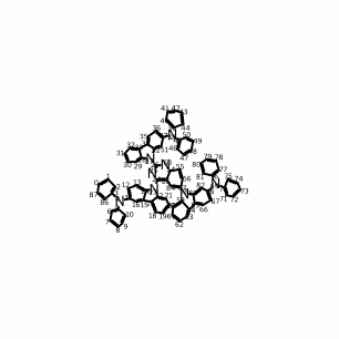 c1ccc(N(c2ccccc2)c2ccc3c(c2)c2ccccc2n3-c2nc(-n3c4ccccc4c4ccc(N(c5ccccc5)c5ccccc5)cc43)nc3ccc(-n4c5ccccc5c5ccc(N(c6ccccc6)c6ccccc6)cc54)cc23)cc1